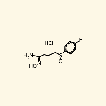 Cl.NC(CCC[S+]([O-])c1ccc(F)cc1)=NO